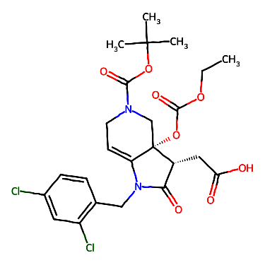 CCOC(=O)O[C@@]12CN(C(=O)OC(C)(C)C)CC=C1N(Cc1ccc(Cl)cc1Cl)C(=O)[C@H]2CC(=O)O